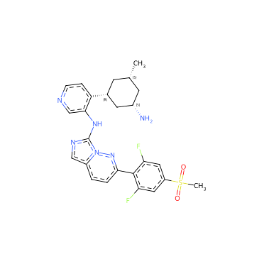 C[C@@H]1C[C@H](N)C[C@H](c2ccncc2Nc2ncc3ccc(-c4c(F)cc(S(C)(=O)=O)cc4F)nn23)C1